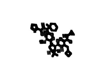 CC(C)(C)[C@H](NC(=O)[C@@H](NC(=O)c1cccs1)C1(C)CCCCC1)C(=O)N1C[C@H]2[C@@H]([C@H]1C(=O)NC(CC1CCC1)C(=O)C(=O)NC1CC1)C2(C)C